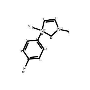 CN1C=C[N+](I)(c2ccc(F)cc2)C1